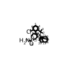 CC1(C)c2cccc(Cl)c2C2(CCN(C(N)=O)CC2)N1C1C2CC3CC(C2)CC1C3